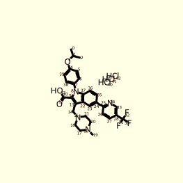 CC(C)Oc1ccc(-n2c(C(=O)O)c(CN3CCN(C)CC3)c3cc(-c4ccc(C(F)(F)F)cn4)ccc32)cc1.Cl.Cl.Cl